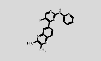 Cc1nc2ccc(-c3nc(Nc4cc[c]cn4)ncc3F)cc2nc1C